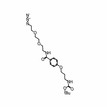 CC(C)(C)OC(=O)NCCCOc1ccc(C(=O)NCCOCCOCCN=[N+]=[N-])cc1